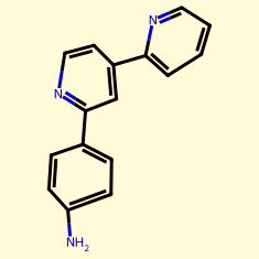 Nc1ccc(-c2cc(-c3ccccn3)ccn2)cc1